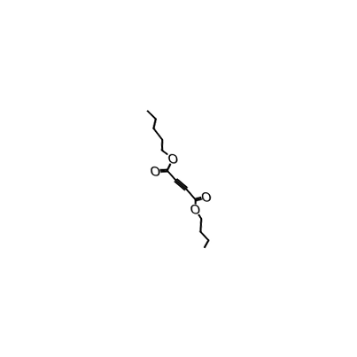 CCCCCOC(=O)C#CC(=O)OCCCC